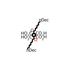 CCCCCCCCCCCCC=CC=CCC(=O)c1c(C(=O)O)c(C(=O)O)c(C(=O)CC=CC=CCCCCCCCCCCCC)c(C(=O)O)c1C(=O)O